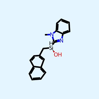 Cn1c([Si@@H](O)Cc2ccc3ccccc3c2)nc2ccccc21